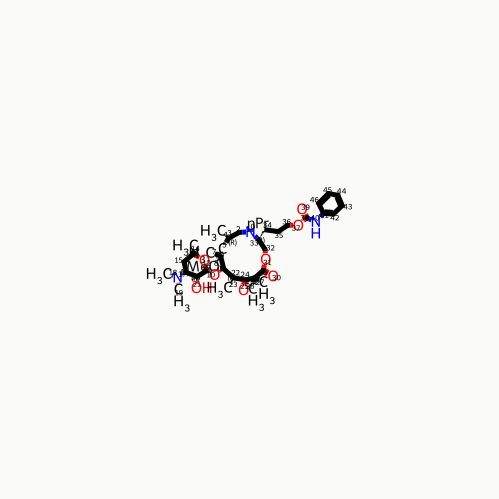 CCCN1C[C@H](C)C[C@@](C)(OC)[C@H](O[C@H]2O[C@H](C)C[C@@H](N(C)C)[C@H]2O)[C@@H](C)C(=O)C(C)(C)C(=O)OC[C@H]1CCCOC(=O)Nc1ccccc1